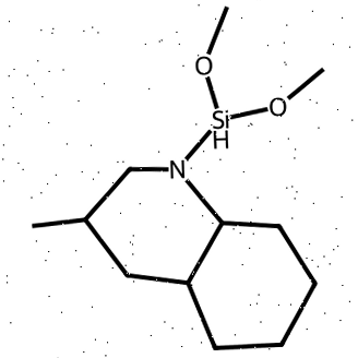 CO[SiH](OC)N1CC(C)CC2CCCCC21